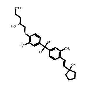 CCC(CC)(c1ccc(C=CC2(O)CCCC2)c(C)c1)c1ccc(OC[C@H](O)CCC(=O)O)c(C)c1